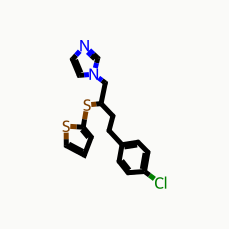 Clc1ccc(CCC(Cn2ccnc2)Sc2cccs2)cc1